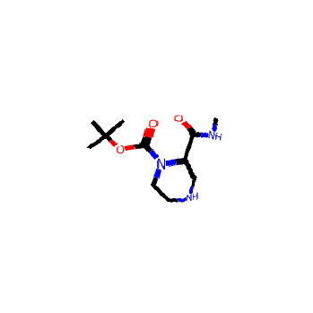 CNC(=O)C1CNCCN1C(=O)OC(C)(C)C